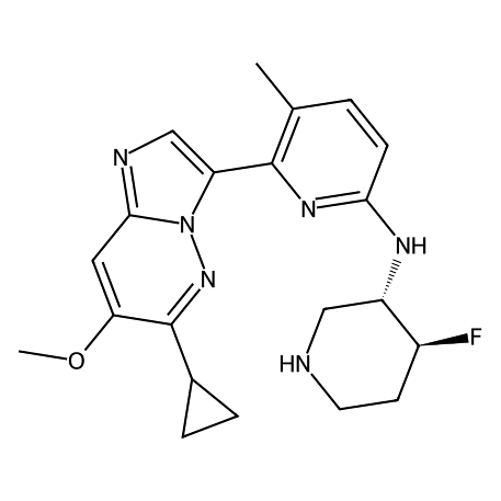 COc1cc2ncc(-c3nc(N[C@H]4CNCC[C@@H]4F)ccc3C)n2nc1C1CC1